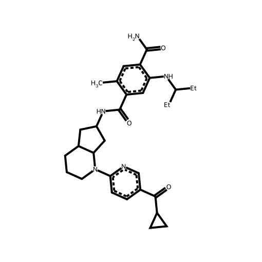 CCC(CC)Nc1cc(C(=O)NC2CC3CCCN(c4ccc(C(=O)C5CC5)cn4)C3C2)c(C)cc1C(N)=O